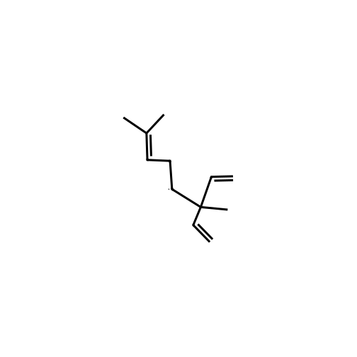 C=CC(C)([CH]CC=C(C)C)C=C